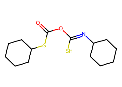 O=C(O/C(S)=N/C1CCCCC1)SC1CCCCC1